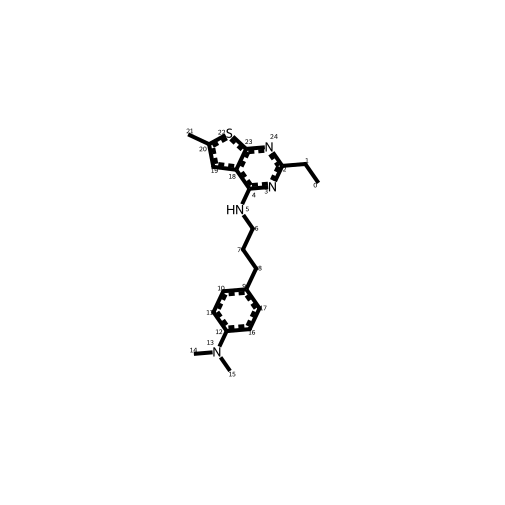 CCc1nc(NCCCc2ccc(N(C)C)cc2)c2cc(C)sc2n1